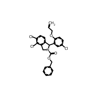 C=CCOc1ccc(Cl)cc1C1c2ccc(Cl)c(Cl)c2CN1C(=O)OCc1ccccc1